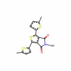 Cc1ccc(-c2sc(-c3ccc(C)s3)c3c2C(=O)N(C(C)C)C3=O)s1